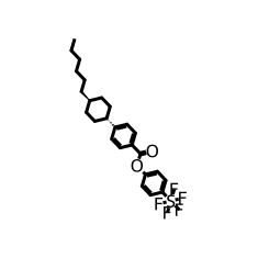 CCCCCC[C@H]1CC[C@H](c2ccc(C(=O)Oc3ccc(S(F)(F)(F)(F)F)cc3)cc2)CC1